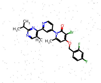 Cc1cnc(C(C)C)nc1-c1cc(-n2c(C)cc(OCc3ccc(F)cc3F)c(Br)c2=O)ccn1